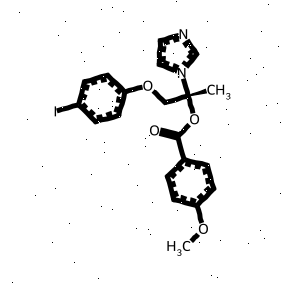 COc1ccc(C(=O)O[C@](C)(COc2ccc(I)cc2)n2ccnc2)cc1